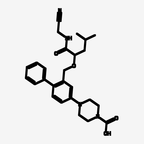 CC(C)CC(OCc1cc(N2CCN(C(=O)O)CC2)ccc1-c1ccccc1)C(=O)NCC#N